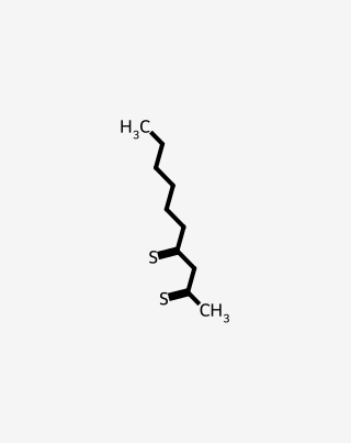 CCCCCCC(=S)CC(C)=S